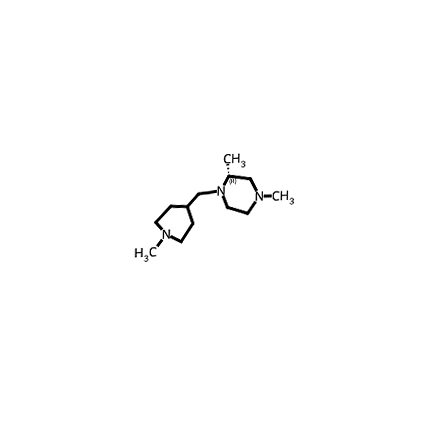 C[C@@H]1CN(C)CCN1CC1CCN(C)CC1